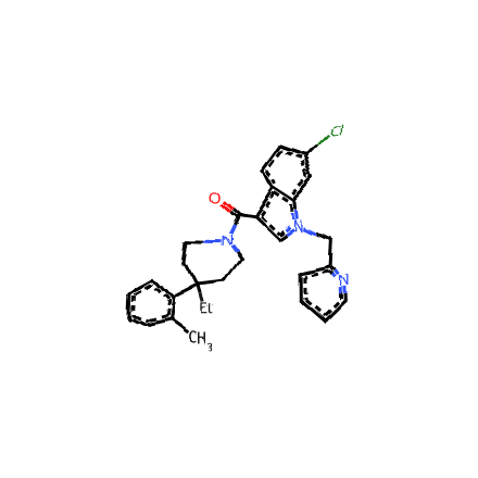 CCC1(c2ccccc2C)CCN(C(=O)c2cn(Cc3ccccn3)c3cc(Cl)ccc23)CC1